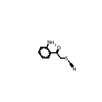 N#CSCC(=O)c1ccccc1N